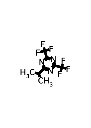 CC(C)c1nc(C(F)(F)F)nc(C(F)(F)F)n1